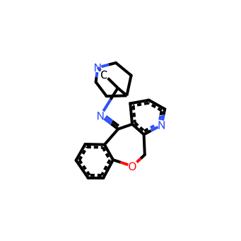 c1ccc2c(c1)OCc1ncccc1C2=NC1CN2CCC1CC2